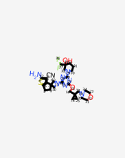 N#Cc1c(N)sc2c1C1(CC2)CN(c2nc(OCC3(CN4CCOCC4)CC3)nc(N3CCCC(O)(C(F)F)C3)n2)C1